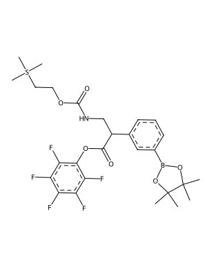 CC1(C)OB(c2cccc(C(CNC(=O)OCCS(C)(C)C)C(=O)Oc3c(F)c(F)c(F)c(F)c3F)c2)OC1(C)C